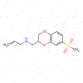 C=CCNCC1COc2ccc(S(C)(=O)=O)cc2O1